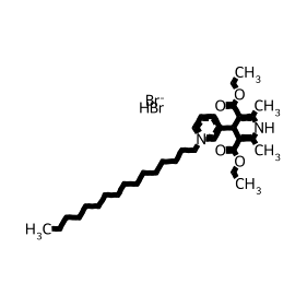 Br.CCCCCCCCCCCCCCCC[n+]1cccc(C2C(C(=O)OCC)=C(C)NC(C)=C2C(=O)OCC)c1.[Br-]